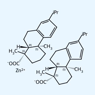 CC(C)c1ccc2c(c1)CC[C@H]1[C@@](C)(C(=O)[O-])CCC[C@]21C.CC(C)c1ccc2c(c1)CC[C@H]1[C@@](C)(C(=O)[O-])CCC[C@]21C.[Zn+2]